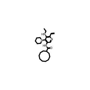 C=Cc1ncc(NC(=O)C2CCCCCCCCC2)c(N2CCCCC2)c1NCC